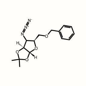 CC1(C)O[C@H]2O[C@H](COCc3ccccc3)C(N=[N+]=[N-])[C@@H]2O1